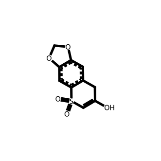 O=S1(=O)C=C(O)Cc2cc3c(cc21)OCO3